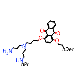 CCCCCCCCCCCCOc1ccc(OCCCCN(CCCN)CCCNCCC)c2c1C(=O)c1ccccc1C2=O